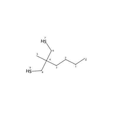 [CH2]CCCC(C)(CS)CS